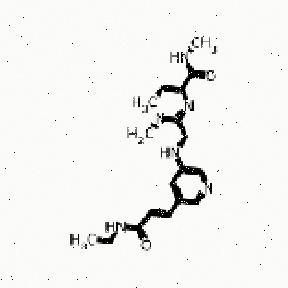 C=N/C(CNc1cncc(/C=C/C(=O)NCC)c1)=N\C(=C/C)C(=O)NC